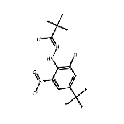 CC(C)(C)C(Cl)=NNc1c(Cl)cc(C(F)(F)F)cc1[N+](=O)[O-]